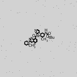 CC1CCCCN1c1cc2c(F)ccc(C(=O)Nc3cnccc3[C@@H]3C[C@H](C)C[C@H](NC(=O)OC(C)(C)C)C3)c2nn1